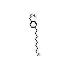 CCc1ccc(CCCCCCCCBr)cc1